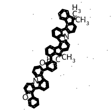 CC1(C)c2ccccc2-c2c1ccc1c2c2cccc3c4c5c(ccc4n1c23)C(C)(C)c1c(-c2cccc3c2oc2ccc4c(c6cccc7c8c9c(ccc8n4c76)oc4ccccc49)c23)cccc1-5